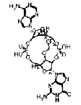 Nc1nc2c(ncn2[C@@H]2O[C@@H]3COP(=O)(O)OC4C(O)[C@@H](COP(=O)(O)OC2C3OCC(F)(F)F)O[C@H]4n2cnc3c(N)ncnc32)c(=O)[nH]1